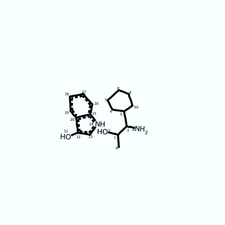 CC(O)C(N)C1CCCCC1.Oc1c[nH]c2ccccc12